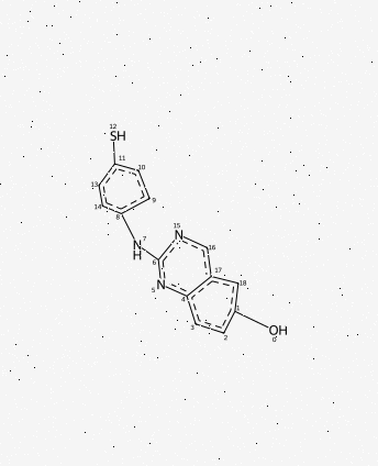 Oc1ccc2nc(Nc3ccc(S)cc3)ncc2c1